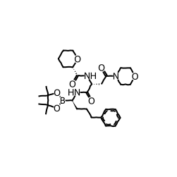 CC1(C)OB([C@H](CCCc2ccccc2)NC(=O)[C@@H](CC(=O)N2CCOCC2)NC(=O)[C@@H]2CCCCO2)OC1(C)C